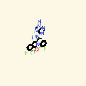 C[C@H](Nc1ncnc2[nH]cnc12)c1cc2ccc(F)c(Cl)c2c(=O)n1-c1cccc(F)c1F